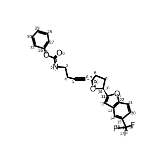 O=C([N]CCC#C[C@@H]1CC[C@@H](c2cc3cc(C(F)(F)F)ccc3o2)O1)Oc1ccccc1